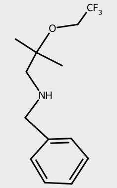 CC(C)(CNCc1ccccc1)OCC(F)(F)F